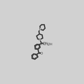 CC(c1cccc(C(=O)c2ccccc2)c1)N1CCC(CN2CCCCC2)CC1.Cl.Cl